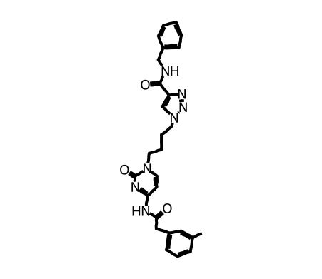 Cc1cccc(CC(=O)Nc2ccn(CCCCn3cc(C(=O)NCc4ccccc4)nn3)c(=O)n2)c1